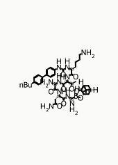 CCCCc1ccc(-c2ccc(NC(=O)N[C@@H](CCCCN)C(=O)N[C@H](C(=O)N[C@@H](N)C(=O)N[C@@H](CC(N)=O)C(=O)N[C@@H](N)B3OC4C[C@@H]5C[C@@H](C5(C)C)[C@]4(C)O3)[C@@H](C)O)cc2)cc1